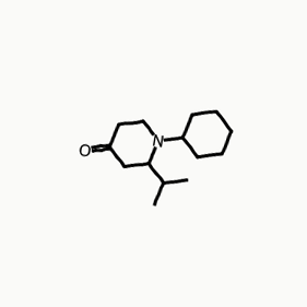 CC(C)C1CC(=O)CCN1C1CCCCC1